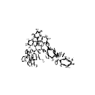 CN(C)P(=O)(Cl)OCC1CN(C(c2ccccc2)(c2ccccc2)c2ccccc2)CC(n2ccc(NC(=O)c3ccccc3)nc2=O)O1